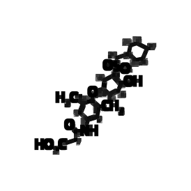 Cc1cc(NC(=O)CC(=O)O)cc(C)c1Oc1ccc(O)c(S(=O)(=O)CC2CCCCC2)c1